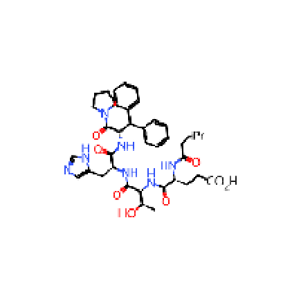 CC(C)CC(=O)N[C@@H](CCC(=O)O)C(=O)N[C@H](C(=O)N[C@@H](Cc1cnc[nH]1)C(=O)N[C@H](C(=O)N1CCCC1)C(c1ccccc1)c1ccccc1)[C@@H](C)O